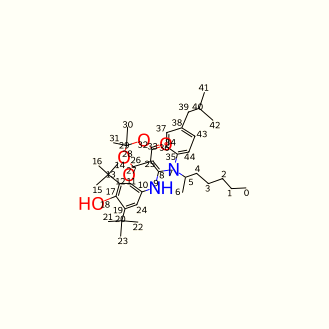 CCCCCC(C)N(C(Nc1cc(C(C)(C)C)c(O)c(C(C)(C)C)c1)=C1C(=O)OC(C)(C)OC1=O)c1ccc(CC(C)C)cc1